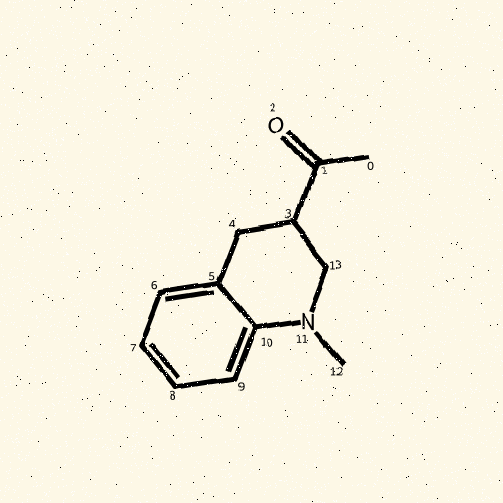 CC(=O)C1Cc2ccccc2N(C)C1